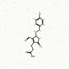 O=CC1=C(CCC(=O)O)C(=O)CC1OCc1ccc(Cl)cc1